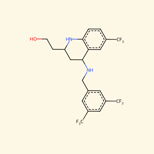 OCCC1CC(NCc2cc(C(F)(F)F)cc(C(F)(F)F)c2)c2cc(C(F)(F)F)ccc2N1